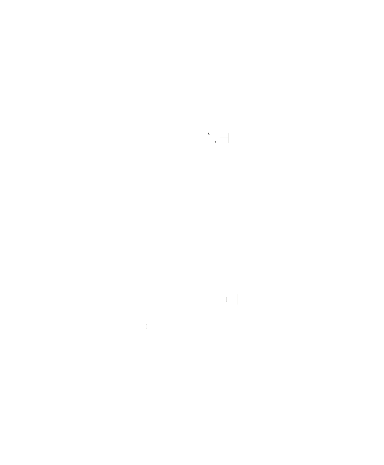 NCCC=C(Cl)Cl